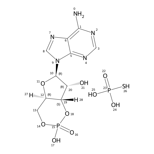 Nc1ncnc2c1ncn2[C@@H]1O[C@@H]2COP(=O)(O)O[C@H]2[C@H]1O.O=P(O)(O)S